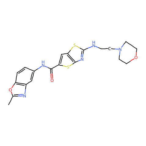 Cc1nc2cc(NC(=O)c3cc4sc(NCCN5CCOCC5)nc4s3)ccc2o1